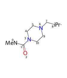 CNC(=O)N1CCN(C[C](C)C)CC1